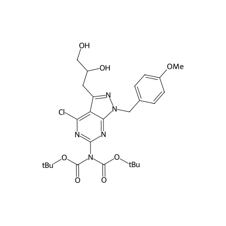 COc1ccc(Cn2nc(CC(O)CO)c3c(Cl)nc(N(C(=O)OC(C)(C)C)C(=O)OC(C)(C)C)nc32)cc1